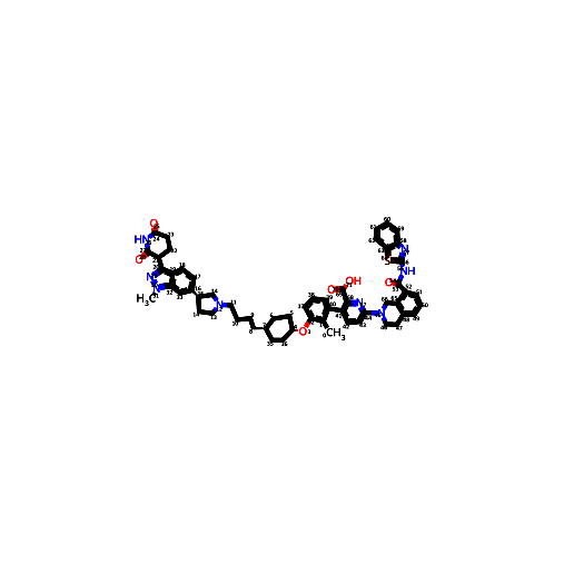 Cc1c(O[C@H]2CC[C@H](CCCCN3CC[C@@H](c4ccc5c(C6CCC(=O)NC6=O)nn(C)c5c4)C3)CC2)cccc1-c1ccc(N2CCc3cccc(C(=O)Nc4nc5ccccc5s4)c3C2)nc1C(=O)O